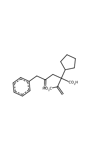 C=C(C(=O)O)C(CC(=O)Cc1ccccc1)(C(=O)O)C1CCCC1